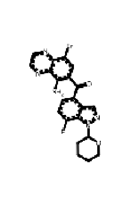 Nc1c(C(=O)c2ccc(F)c3c2cnn3C2CCCCO2)cc(Br)c2nccnc12